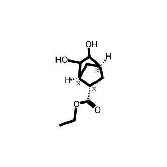 CCOC(=O)[C@H]1C[C@H]2C[C@@H]1C(O)C2O